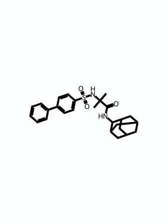 CC(C)(NS(=O)(=O)c1ccc(-c2ccccc2)cc1)C(=O)NC1C2CC3CC(C2)CC1C3